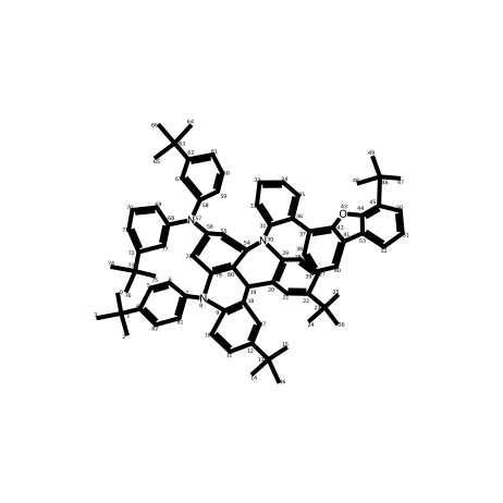 CC(C)(C)c1ccc(N2c3ccc(C(C)(C)C)cc3C3c4cc(C(C)(C)C)ccc4N(c4ccccc4-c4cccc5c4oc4c(C(C)(C)C)cccc45)c4cc(N(c5cccc(C(C)(C)C)c5)c5cccc(C(C)(C)C)c5)cc2c43)cc1